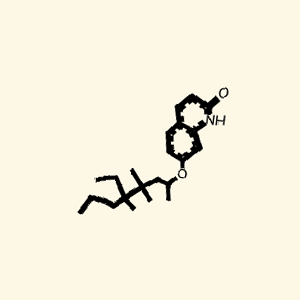 CCCC(C)(CC)C(C)(C)CC(C)Oc1ccc2ccc(=O)[nH]c2c1